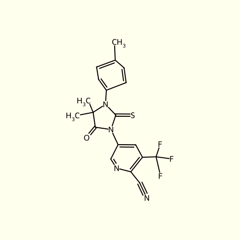 Cc1ccc(N2C(=S)N(c3cnc(C#N)c(C(F)(F)F)c3)C(=O)C2(C)C)cc1